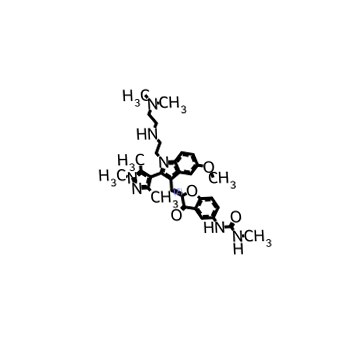 CNC(=O)Nc1ccc2c(c1)C(=O)/C(=C/c1c(-c3c(C)nn(C)c3C)n(CCNCCN(C)C)c3ccc(OC)cc13)O2